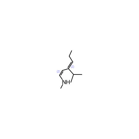 CC/C=C(\C=C/NC)C(C)C